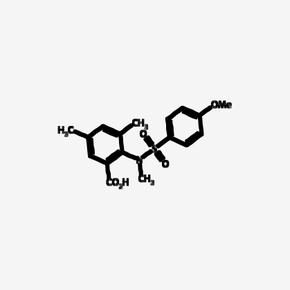 COc1ccc(S(=O)(=O)N(C)c2c(C)cc(C)cc2C(=O)O)cc1